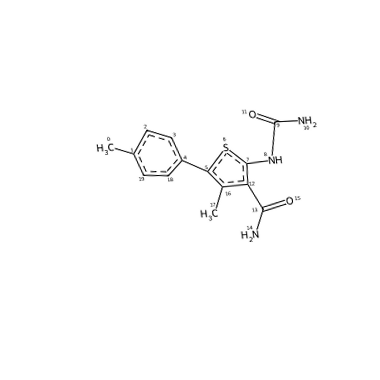 Cc1ccc(-c2sc(NC(N)=O)c(C(N)=O)c2C)cc1